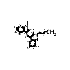 CCCCNC(=O)C(=Cc1c[nH]c2ncccc12)c1ccccc1